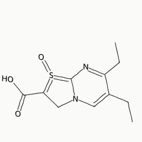 CCC1=CN2CC(C(=O)O)=S(=O)=C2N=C1CC